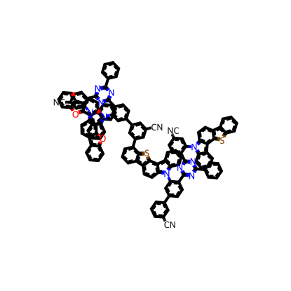 N#Cc1cccc(-c2ccc(-c3nc(-c4ccccc4)nc(-c4ccc(C#N)cc4-n4c5ccccc5c5c6sc7ccccc7c6ccc54)n3)c(-n3c4ccccc4c4c5sc6c(-c7cc(C#N)cc(-c8ccc(-c9nc(-c%10ccccc%10)nc(-c%10ccc(C#N)cc%10-n%10c%11ccccc%11c%11c%12oc%13ccccc%13c%12ccc%11%10)n9)c(-n9c%10ccccc%10c%10c%11oc%12ccccc%12c%11ccc%109)c8)c7)cccc6c5ccc43)c2)c1